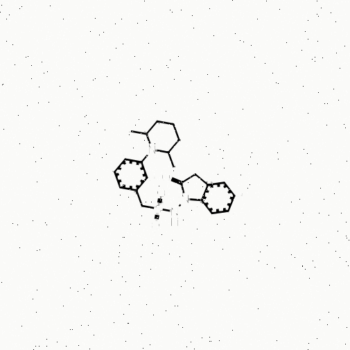 CC1CCCC(C)N1c1cccc(CS(=O)(=O)NN2C(=O)Cc3ccccc32)c1